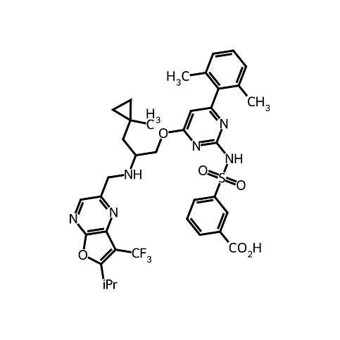 Cc1cccc(C)c1-c1cc(OCC(CC2(C)CC2)NCc2cnc3oc(C(C)C)c(C(F)(F)F)c3n2)nc(NS(=O)(=O)c2cccc(C(=O)O)c2)n1